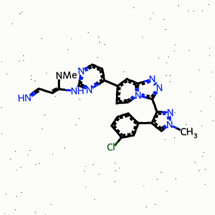 CN/C(=C\C=N)Nc1nccc(-c2ccn3c(-c4nn(C)cc4-c4cccc(Cl)c4)nnc3c2)n1